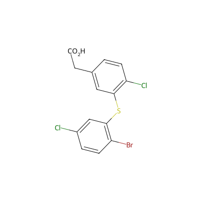 O=C(O)Cc1ccc(Cl)c(Sc2cc(Cl)ccc2Br)c1